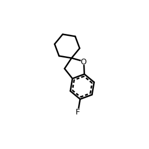 Fc1ccc2c(c1)CC1(CCCCC1)O2